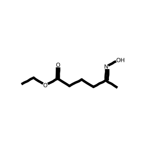 CCOC(=O)CCCC(C)=NO